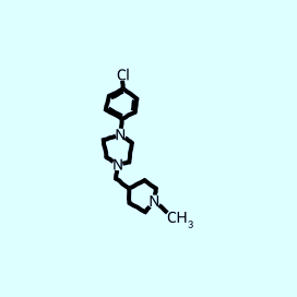 CN1CCC(CN2CCN(c3ccc(Cl)cc3)CC2)CC1